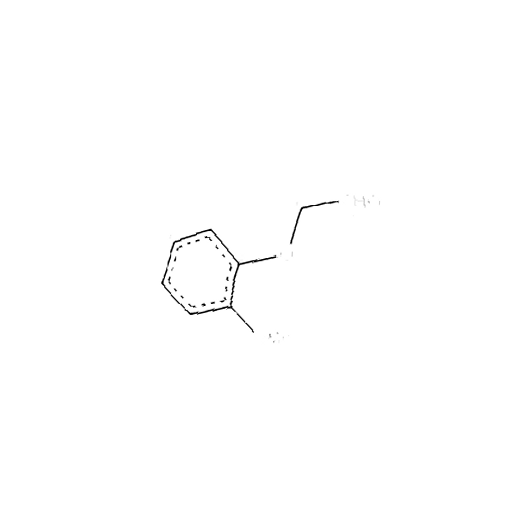 COc1ccccc1OCC=O